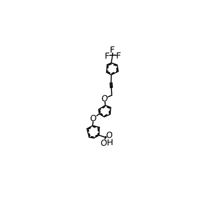 O=C(O)c1cccc(Oc2cccc(OCC#Cc3ccc(C(F)(F)F)cc3)c2)c1